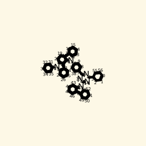 C1=CCC(c2nc(-c3ccc(-n4c5ccccc5c5ccc6c(c7ccccc7n6-c6ccccc6)c54)cc3)nc(-n3c4ccccc4c4ccccc43)n2)C=C1